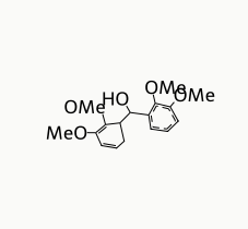 COC1=C(OC)C(C(O)c2cccc(OC)c2OC)CC=C1